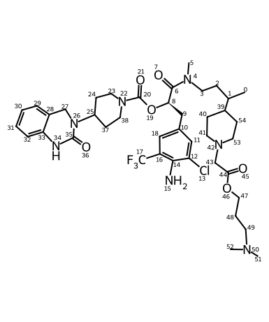 CC(CCN(C)C(=O)[C@@H](Cc1cc(Cl)c(N)c(C(F)(F)F)c1)OC(=O)N1CCC(N2Cc3ccccc3NC2=O)CC1)C1CCN(CC(=O)OCCCN(C)C)CC1